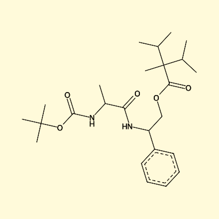 CC(NC(=O)OC(C)(C)C)C(=O)NC(COC(=O)C(C)(C(C)C)C(C)C)c1ccccc1